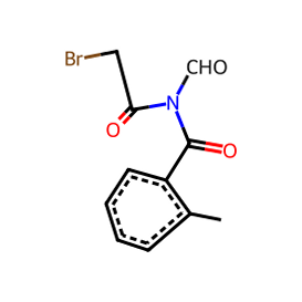 Cc1ccccc1C(=O)N(C=O)C(=O)CBr